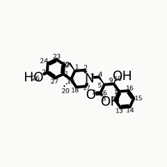 C[C@H]1CN(C[C@H](C(=O)O)[C@H](O)c2ccccc2)CC[C@@]1(C)c1cccc(O)c1